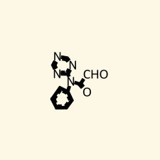 O=CC(=O)N(c1ccccc1)c1ncncn1